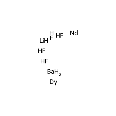 F.F.F.F.[BaH2].[Dy].[LiH].[Nd]